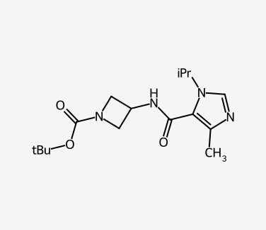 Cc1ncn(C(C)C)c1C(=O)NC1CN(C(=O)OC(C)(C)C)C1